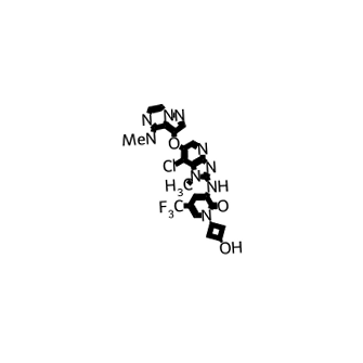 CNc1nccn2ncc(Oc3cnc4nc(Nc5cc(C(F)(F)F)cn([C@H]6C[C@H](O)C6)c5=O)n(C)c4c3Cl)c12